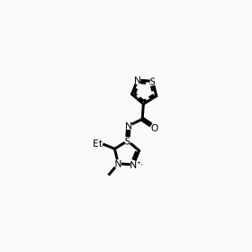 CCC1N(C)[N+]=CS1=NC(=O)c1cnsc1